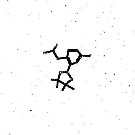 CC1(C)OB(c2cc(F)ccc2OC(F)F)OC1(C)C